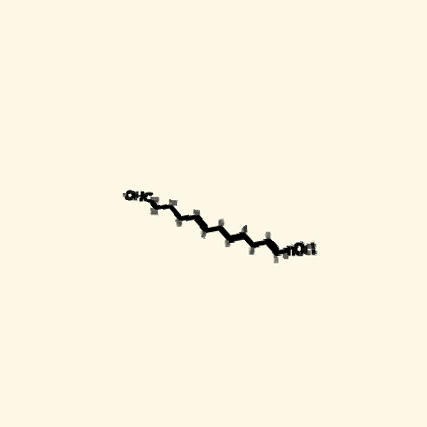 CCCCCCCCC=CCC=CCC=CCCC[C]=O